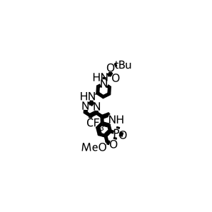 COC(=O)c1ccc2c(-c3nc(N[C@H]4CCCN(NC(=O)OC(C)(C)C)C4)ncc3C(F)(F)F)c[nH]c2c1P(C)(C)=O